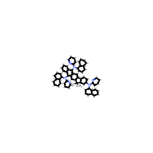 CC1(C)c2cc(N(c3ccccn3)c3cccc4ccccc34)ccc2-c2cc3c(N(c4ccccn4)c4cccc5ccccc45)c4ccccc4c(N(c4ccccn4)c4cccc5ccccc45)c3cc21